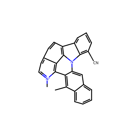 Cc1c2ccccc2cc2c1c1c3c(ccc4c5cccc(C#N)c5n2c43)cc[n+]1C